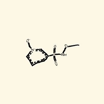 CONS(=O)(=O)c1ccc[n+]([O-])c1